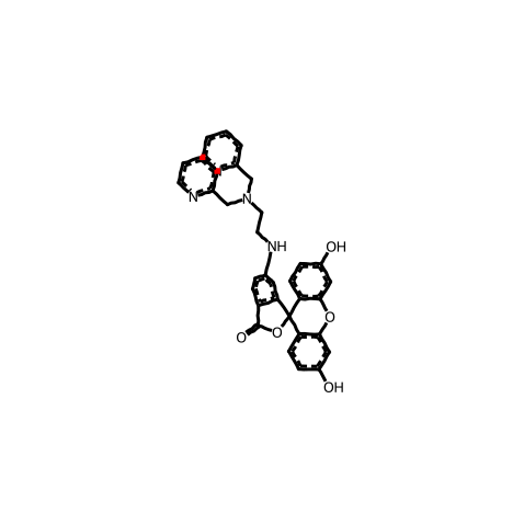 O=C1OC2(c3ccc(O)cc3Oc3cc(O)ccc32)c2cc(NCCN(Cc3ccccn3)Cc3ccccn3)ccc21